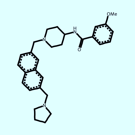 COc1cccc(C(=O)NC2CCN(Cc3ccc4ccc(CN5CCCC5)cc4c3)CC2)c1